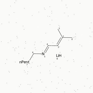 [CH2]C(C)=CC=NCCCCCC.[LiH]